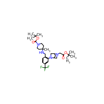 CC1(NCc2ccc(C(F)(F)F)cc2N2CC3CC2CN3CC(=O)OC(C)(C)C)CCN(C(=O)OC(C)(C)C)CC1